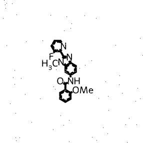 COc1ccccc1C(=O)Nc1ccc2nc(-c3ncccc3F)n(C)c2c1